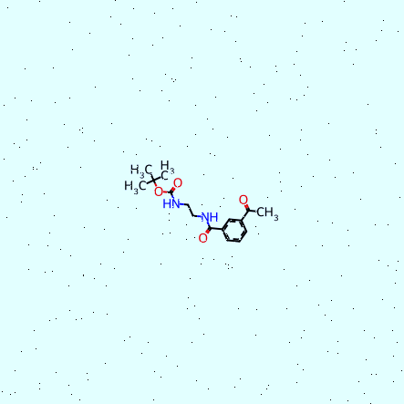 CC(=O)c1cccc(C(=O)NCCNC(=O)OC(C)(C)C)c1